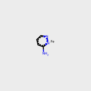 Nc1cccnn1.[Fe]